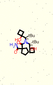 CC(C)(C)[C@@H](N(C(=O)C1(C(N)=O)CCCC1)[C@H](C(C)(C)C)C1(O)CCC1)C1(O)CCC1